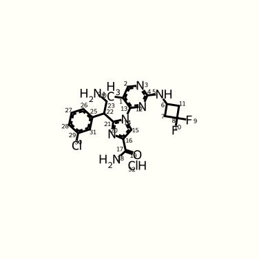 Cc1cnc(NC2CC(F)(F)C2)nc1-n1cc(C(N)=O)nc1C(CN)c1cccc(Cl)c1.Cl